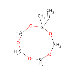 C=C[Si]1(C)O[SiH2]O[SiH2]O[SiH2]O[SiH2]O1